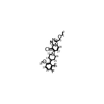 CCOCc1nnc2c(Cl)c(N3CCC(c4c(OC)ccc(F)c4F)CC3)ccn12